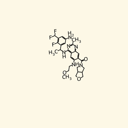 COCCNc1cc2c(NC(C)c3cc(N)cc(C(F)F)c3F)nc(C)nc2cc1C(=O)N1CC2COCC2C1